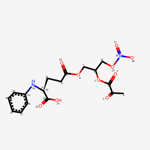 CC(=O)C(=O)OC(COC(=O)CC[C@H](Nc1ccccc1)C(=O)O)CO[N+](=O)[O-]